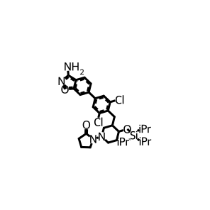 CC(C)[Si](OC1CCN(N2CCCC2=O)CC1Cc1c(Cl)cc(-c2ccc3c(N)noc3c2)cc1Cl)(C(C)C)C(C)C